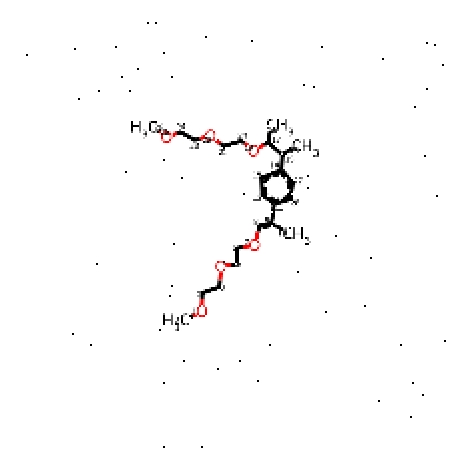 COCCOCCO/C=C(\C)c1ccc(C(C)C(C)OCCOCCOC)cc1